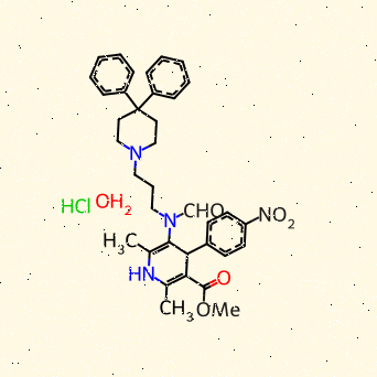 COC(=O)C1=C(C)NC(C)=C(N(C=O)CCCN2CCC(c3ccccc3)(c3ccccc3)CC2)C1c1ccc([N+](=O)[O-])cc1.Cl.O